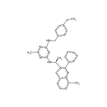 COc1ccc(CNc2nc(C)nc(N[C@@H](C)c3cc4cccc(C)c4nc3-c3ccccc3)n2)cc1